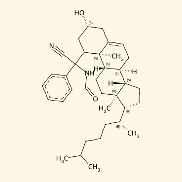 CC(C)CCC[C@@H](C)[C@H]1CC[C@H]2[C@@H]3CC=C4C[C@@H](O)CC(C(C#N)(NC=O)c5ccccc5)[C@]4(C)[C@H]3CC[C@]12C